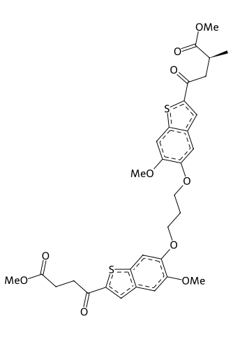 COC(=O)CCC(=O)c1cc2cc(OC)c(OCCCOc3cc4cc(C(=O)C[C@H](C)C(=O)OC)sc4cc3OC)cc2s1